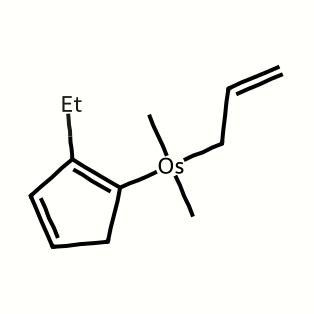 C=C[CH2][Os]([CH3])([CH3])[C]1=C(CC)C=CC1